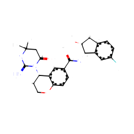 CCC1(CC)CC(=O)N([C@@H]2CCOc3ccc(C(=O)N[C@H]4c5cc(F)ccc5C[C@@H]4O)cc32)C(=N)N1